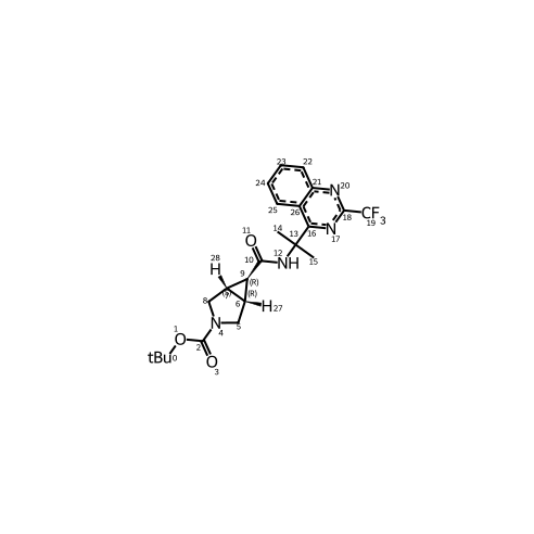 CC(C)(C)OC(=O)N1C[C@@H]2[C@H](C1)[C@H]2C(=O)NC(C)(C)c1nc(C(F)(F)F)nc2ccccc12